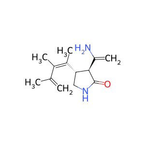 C=C(C)/C(C)=C(/C)[C@H]1CNC(=O)[C@@H]1C(=C)N